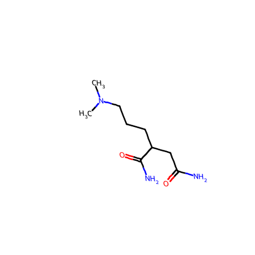 CN(C)CCCC(CC(N)=O)C(N)=O